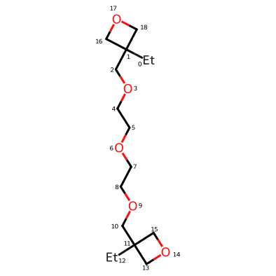 CCC1(COCCOCCOCC2(CC)COC2)COC1